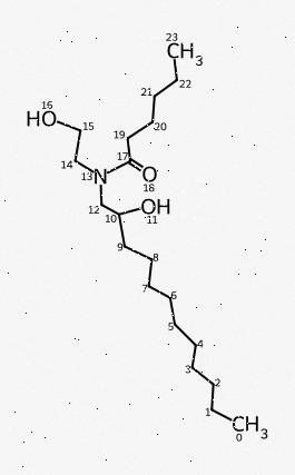 CCCCCCCCCCC(O)CN(CCO)C(=O)CCCCC